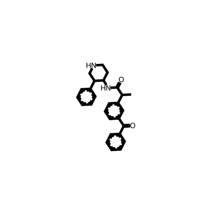 CC(C(=O)NC1CCNCC1c1ccccc1)c1cccc(C(=O)c2ccccc2)c1